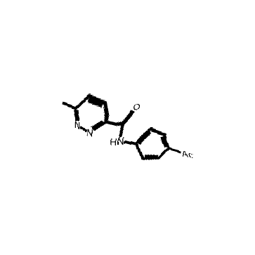 CC(=O)c1ccc(NC(=O)c2ccc(C)nn2)cc1